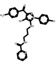 Cc1ccc(C(=O)c2nn(-c3ccc(Cl)cc3)c(NCCCNC(=O)c3ccccn3)c2C#N)cc1